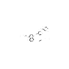 CCc1cncc(Nc2cc(COc3ccc(NC(N)=O)c4ccccc34)ccn2)n1.O=C(O)/C=C\C(=O)O